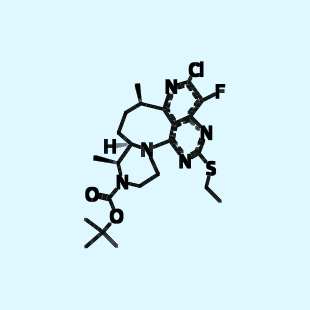 CCSc1nc2c3c(nc(Cl)c(F)c3n1)[C@H](C)CC[C@@H]1[C@H](C)N(C(=O)OC(C)(C)C)CCN21